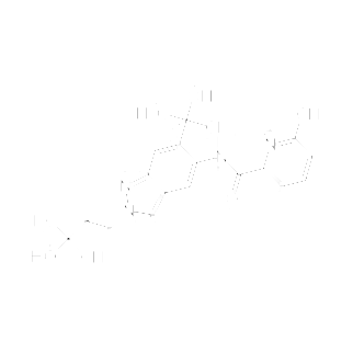 Cc1cccc(C(=O)Nc2cc3cn(CCC(C)(C)O)nc3cc2C(C)(C)O)n1